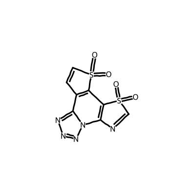 O=S1(=O)C=Cc2c1c1c(n3nnnc23)N=CS1(=O)=O